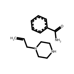 C=CCN1CCNCC1.NC(=O)c1ccccc1